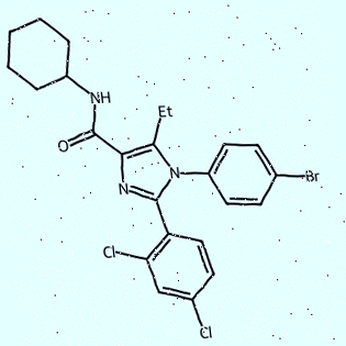 CCc1c(C(=O)NC2CCCCC2)nc(-c2ccc(Cl)cc2Cl)n1-c1ccc(Br)cc1